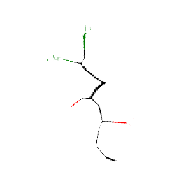 CCC(O)C(O)CC(Br)Br